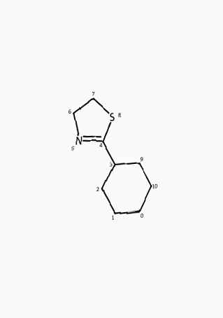 C1CC[C](C2=NCCS2)CC1